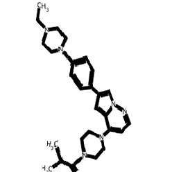 CCN1CCN(c2ccc(-c3cc4c(N5CCN(C(=O)C(C)C)CC5)ccnn4c3)cc2)CC1